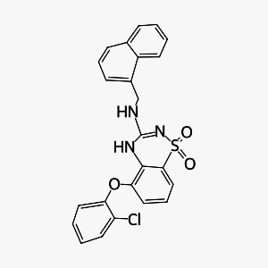 O=S1(=O)N=C(NCc2cccc3ccccc23)Nc2c(Oc3ccccc3Cl)cccc21